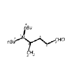 CCCCN(CCCC)C(C)CCC=O